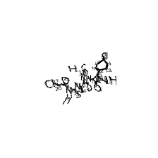 CON=C(C(=O)NC1C(=O)NC1c1ccc(Cl)cc1)c1csc(NC(=O)CCl)n1